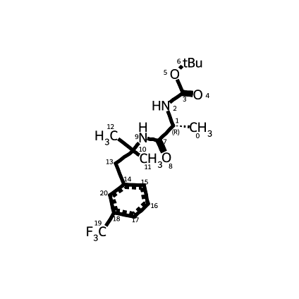 C[C@@H](NC(=O)OC(C)(C)C)C(=O)NC(C)(C)Cc1cccc(C(F)(F)F)c1